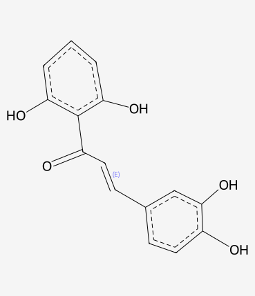 O=C(/C=C/c1ccc(O)c(O)c1)c1c(O)cccc1O